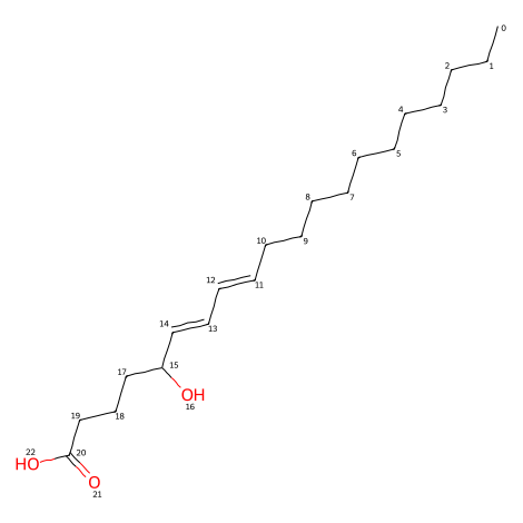 CCCCCCCCCCC/C=C/C=C/C(O)CCCC(=O)O